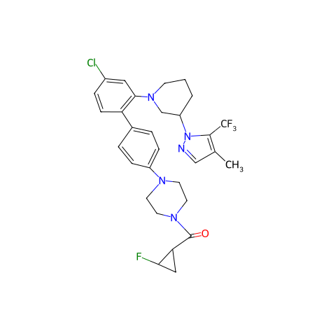 Cc1cnn(C2CCCN(c3cc(Cl)ccc3-c3ccc(N4CCN(C(=O)C5CC5F)CC4)cc3)C2)c1C(F)(F)F